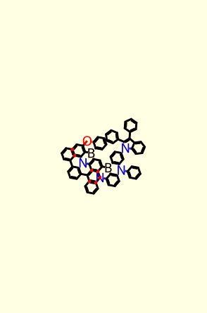 c1ccc(-c2cccc(-c3ccccc3)c2N2c3cc4c(cc3B3c5ccccc5Oc5cccc2c53)B2c3ccc(-n5c(-c6ccccc6)c(-c6ccccc6)c6ccccc65)cc3N(c3ccccc3)c3cccc(c32)N4c2ccccc2)cc1